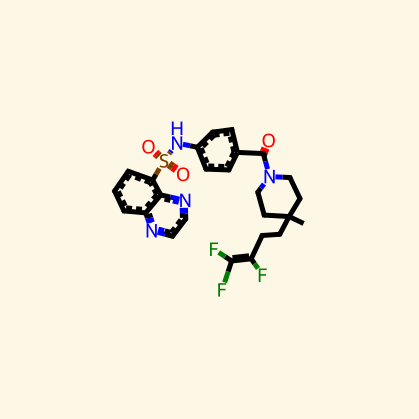 CC1(CCC(F)=C(F)F)CCN(C(=O)c2ccc(NS(=O)(=O)c3cccc4nccnc34)cc2)CC1